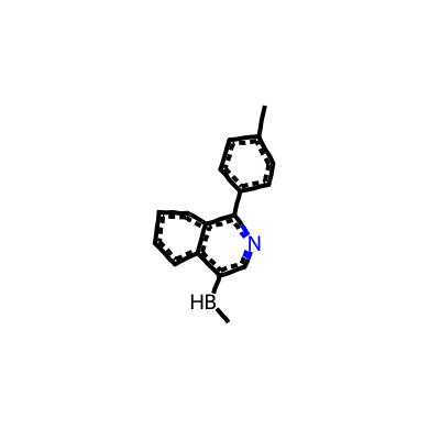 CBc1cnc(-c2ccc(C)cc2)c2ccccc12